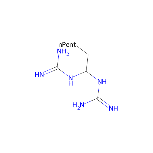 CCCCCCC(NC(=N)N)NC(=N)N